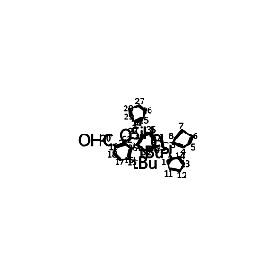 CC(C)(C)[Si](Cl)(c1ccccc1)c1ccccc1.CC(C)(C)c1ccc(C=O)c(O[SiH](c2ccccc2)c2ccccc2)c1